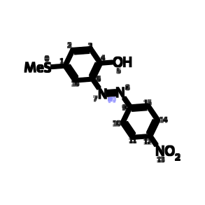 CSc1ccc(O)c(/N=N/c2ccc([N+](=O)[O-])cc2)c1